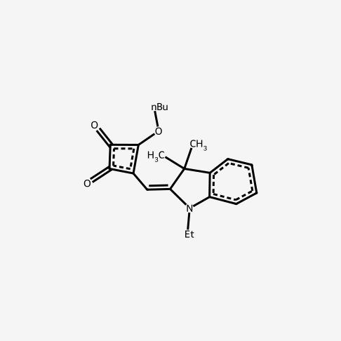 CCCCOc1c(/C=C2/N(CC)c3ccccc3C2(C)C)c(=O)c1=O